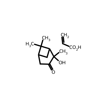 C=CC(=O)O.CC1(O)C(=O)CC2CC1C2(C)C